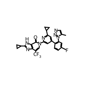 Cc1cnnn1-c1cc(F)ccc1-c1cc(C2CC2)nc(-n2cc(C(F)(F)F)c3nc(C4CC4)[nH]c3c2=O)c1